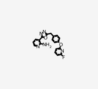 Nc1ncccc1-c1nnc(Cc2ccc(Oc3cccc(F)n3)cc2)o1